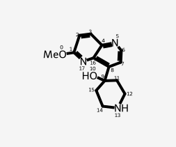 COc1ccc2nccc(C3(O)CCNCC3)c2n1